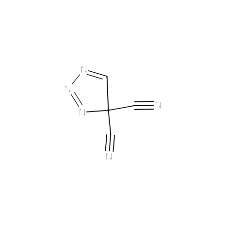 N#CC1(C#N)C=NN=N1